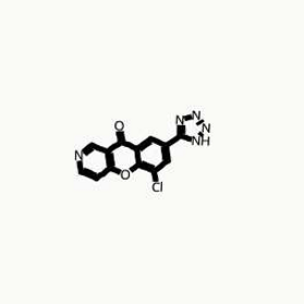 O=c1c2cnccc2oc2c(Cl)cc(-c3nnn[nH]3)cc12